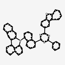 c1ccc(-c2nc(-c3ccc4oc5ccccc5c4c3)nc(-c3cccc4c(N5c6cc7ccccc7cc6-c6cccc7cccc5c67)cccc34)n2)cc1